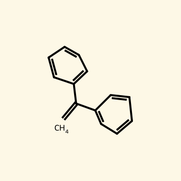 C.C=C(c1ccccc1)c1ccccc1